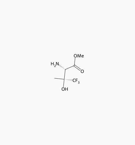 COC(=O)[C@@H](N)[C@](C)(O)C(F)(F)F